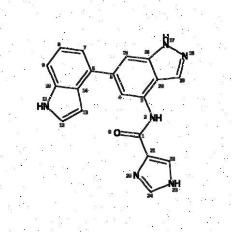 O=C(Nc1cc(-c2cccc3[nH]ccc23)cc2[nH]ncc12)c1c[nH]cn1